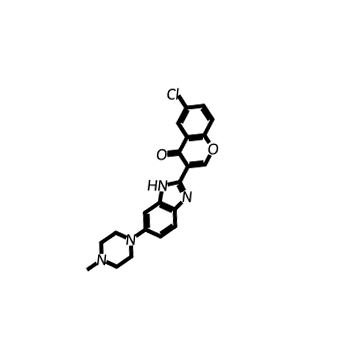 CN1CCN(c2ccc3nc(-c4coc5ccc(Cl)cc5c4=O)[nH]c3c2)CC1